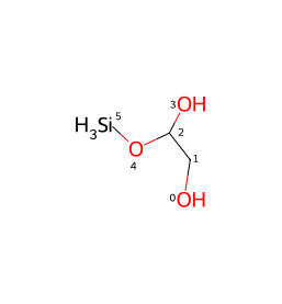 OCC(O)O[SiH3]